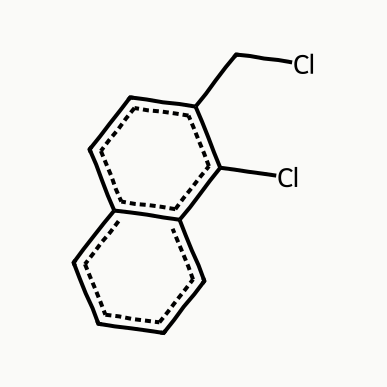 ClCc1ccc2ccccc2c1Cl